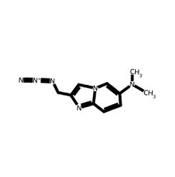 CN(C)c1ccc2nc(CN=[N+]=[N-])cn2c1